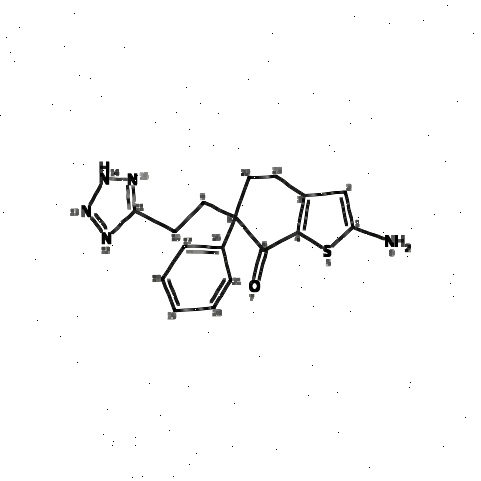 Nc1cc2c(s1)C(=O)C(CCc1nn[nH]n1)(c1ccccc1)CC2